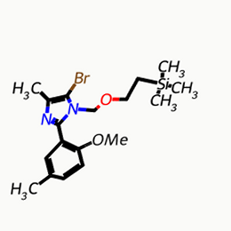 COc1ccc(C)cc1-c1nc(C)c(Br)n1COCC[Si](C)(C)C